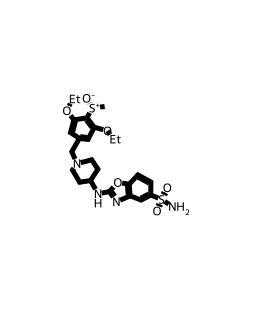 CCOc1cc(CN2CCC(Nc3nc4cc(S(N)(=O)=O)ccc4o3)CC2)cc(OCC)c1[S+](C)[O-]